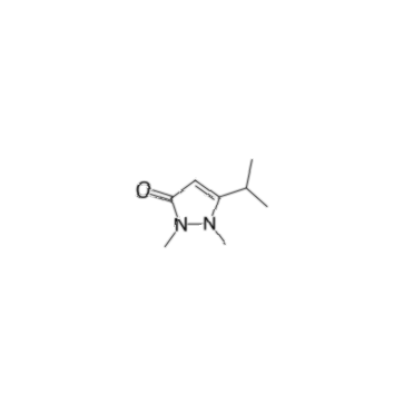 CC(C)c1cc(=O)n(C)n1C